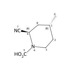 C[C@@H]1CCN(C(=O)O)[C@@H](C#N)C1